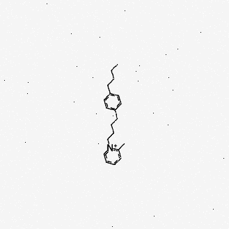 CCCCc1ccc(CCCC[n+]2ccccc2C)cc1